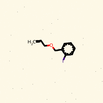 C=CCOCc1ccccc1I